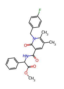 COC(=O)C(NC(=O)c1cc(C)c(C)n(Cc2ccc(F)cc2)c1=O)c1ccccc1